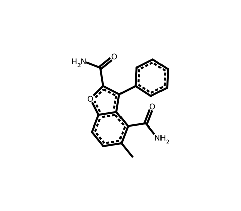 Cc1ccc2oc(C(N)=O)c(-c3ccccc3)c2c1C(N)=O